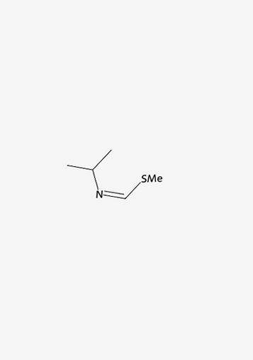 CS/C=N\C(C)C